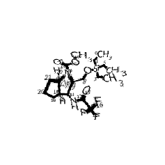 CC[Si](CC)(CC)OC[C@H]1[C@@H](NC(=O)C(F)(F)F)[C@H]2CCC[C@H]2N1C(=O)OC